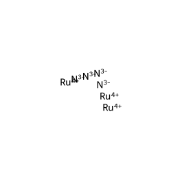 [N-3].[N-3].[N-3].[N-3].[Ru+4].[Ru+4].[Ru+4]